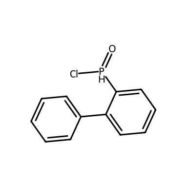 O=[PH](Cl)c1ccccc1-c1ccccc1